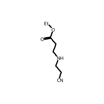 CCOC(=O)CCNCCC#N